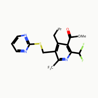 COC(=O)c1c(C(F)F)nc(C(F)(F)F)c(CSc2ncccn2)c1CC(C)C